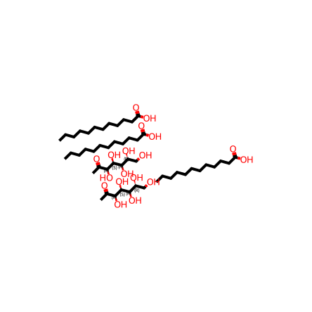 CC(=O)[C@H](O)[C@@H](O)[C@H](O)[C@H](O)CO.CC(=O)[C@H](O)[C@@H](O)[C@H](O)[C@H](O)CO.CCCCCCCCCCCC(=O)O.CCCCCCCCCCCC(=O)O.CCCCCCCCCCCC(=O)O